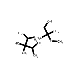 CC(C)C(C)(O)C(C)C.COC(C)(C)CO